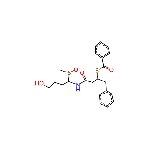 C[S+]([O-])C(CCCO)NC(=O)CC(Cc1ccccc1)SC(=O)c1ccccc1